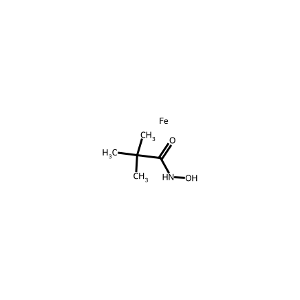 CC(C)(C)C(=O)NO.[Fe]